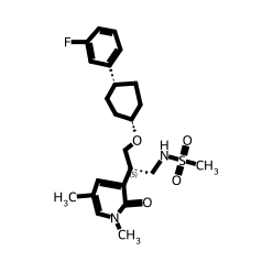 Cc1cc([C@@H](CNS(C)(=O)=O)CO[C@H]2CC[C@@H](c3cccc(F)c3)CC2)c(=O)n(C)c1